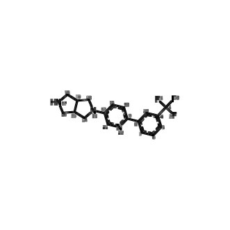 FC(F)(F)c1cccc(-c2ccc(N3CC4CNCC4C3)cn2)c1